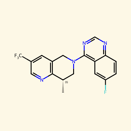 C[C@H]1CN(c2ncnc3ccc(F)cc23)Cc2cc(C(F)(F)F)cnc21